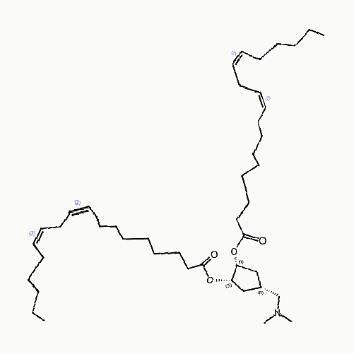 CCCCC/C=C\C/C=C\CCCCCCCC(=O)O[C@H]1C[C@@H](CN(C)C)C[C@H]1OC(=O)CCCCCCC/C=C\C/C=C\CCCCC